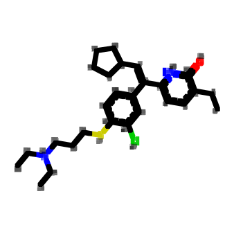 CCc1ccc(C(=CC2CCCC2)c2ccc(SCCCN(CC)CC)c(Cl)c2)[nH]c1=O